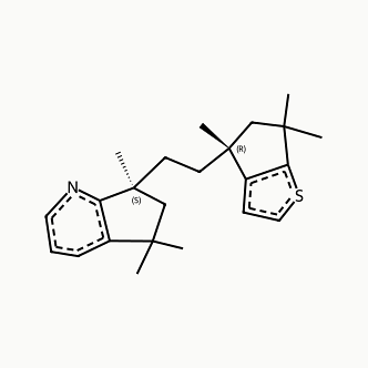 CC1(C)C[C@](C)(CC[C@]2(C)CC(C)(C)c3sccc32)c2ncccc21